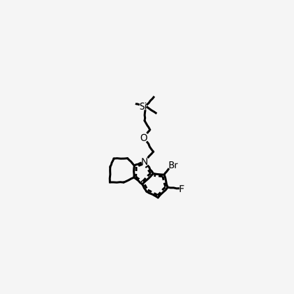 C[Si](C)(C)CCOCn1c2c(c3ccc(F)c(Br)c31)CCCCC2